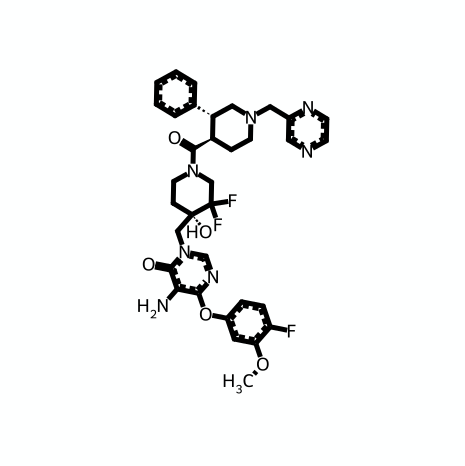 COc1cc(Oc2ncn(C[C@@]3(O)CCN(C(=O)[C@@H]4CCN(Cc5cnccn5)C[C@H]4c4ccccc4)CC3(F)F)c(=O)c2N)ccc1F